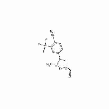 C[C@H]1O[C@H](C=O)CN1c1ccc(C#N)c(C(F)(F)F)c1